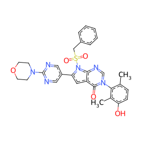 Cc1ccc(O)c(C)c1-n1cnc2c(cc(-c3cnc(N4CCOCC4)nc3)n2S(=O)(=O)Cc2ccccc2)c1=O